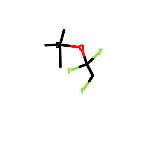 C[Si](C)(C)OC(F)(F)CF